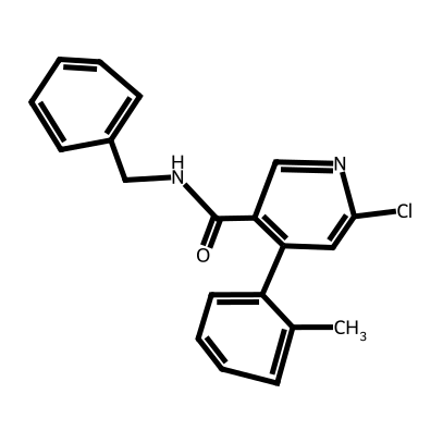 Cc1ccccc1-c1cc(Cl)ncc1C(=O)NCc1ccccc1